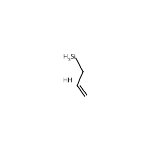 C=CC[SiH3].[HH]